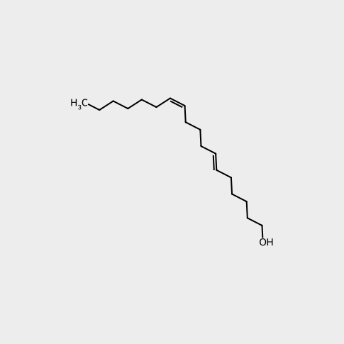 CCCCCC/C=C\CCCC=CCCCCCO